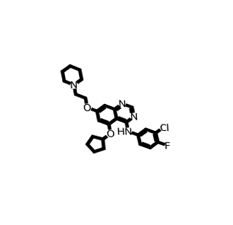 Fc1ccc(Nc2ncnc3cc(OCCN4CCCCC4)cc(OC4CCCC4)c23)cc1Cl